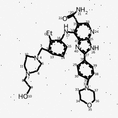 CCc1c(CN2CCN(CCO)CC2)cccc1Nc1c(C(N)=O)cnc2[nH]c(-c3ccc(N4CCOCC4)cc3)nc12